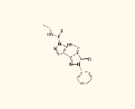 CCNC(=S)n1ncc2c3nn(-c4ccccc4)c(=O)c-3c[nH]c21